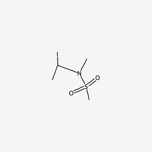 CC(I)N(C)S(C)(=O)=O